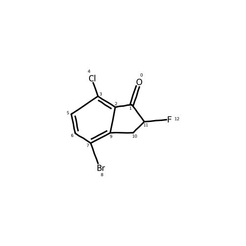 O=C1c2c(Cl)ccc(Br)c2CC1F